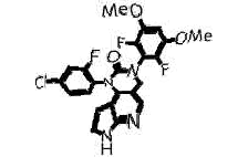 COc1cc(OC)c(F)c(N2Cc3cnc4[nH]ccc4c3N(c3ccc(Cl)cc3F)C2=O)c1F